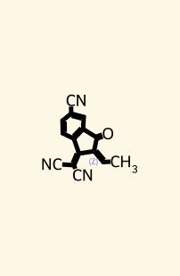 C/C=C1\C(=O)c2cc(C#N)ccc2C1=C(C#N)C#N